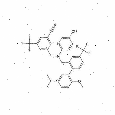 COc1ccc(C(C)C)cc1-c1ccc(C(F)(F)F)cc1CN(Cc1cc(C#N)cc(C(F)(F)F)c1)c1ccc(O)cn1